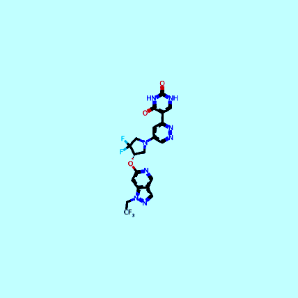 O=c1[nH]cc(-c2cc(N3C[C@H](Oc4cc5c(cn4)cnn5CC(F)(F)F)C(F)(F)C3)cnn2)c(=O)[nH]1